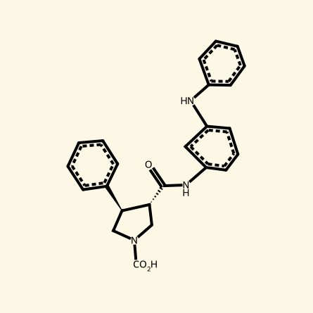 O=C(Nc1cccc(Nc2ccccc2)c1)[C@@H]1CN(C(=O)O)C[C@H]1c1ccccc1